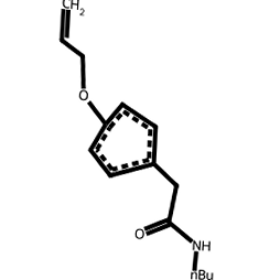 C=CCOc1ccc(CC(=O)NCCCC)cc1